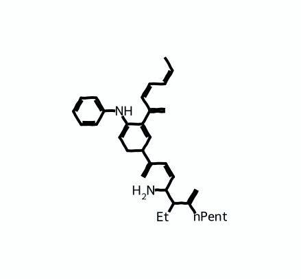 C=C(/C=C\C=C/C)C1=CC(C(=C)/C=C\C(N)C(CC)C(=C)CCCCC)CC=C1Nc1ccccc1